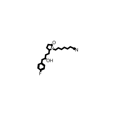 N#CCCCCCCN1C(=O)CCC1CCC(O)Cc1ccc(F)cc1